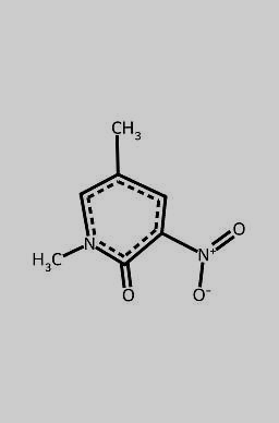 Cc1cc([N+](=O)[O-])c(=O)n(C)c1